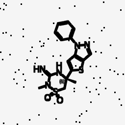 CN1C(=N)N[C@](C)(c2cc3c(cnn3-c3ccccc3)s2)CS1(=O)=O